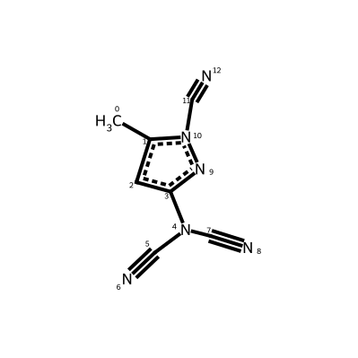 Cc1cc(N(C#N)C#N)nn1C#N